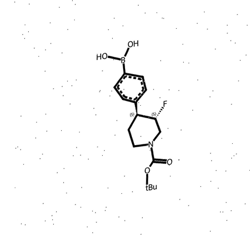 CC(C)(C)OC(=O)N1CC[C@@H](c2ccc(B(O)O)cc2)[C@H](F)C1